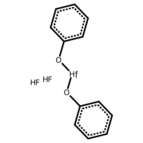 F.F.c1ccc([O][Hf][O]c2ccccc2)cc1